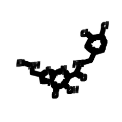 CCNCc1cn2c(=O)c(O)c(C(=O)NCc3ccc(Cl)c(Cl)c3)nc2s1